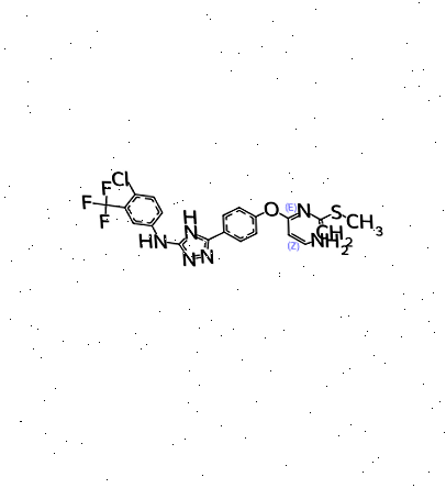 C=C(/N=C(\C=C/N)Oc1ccc(-c2nnc(Nc3ccc(Cl)c(C(F)(F)F)c3)[nH]2)cc1)SC